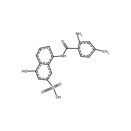 Cc1ccc(C(=O)Nc2cccc3c(O)cc(S(=O)(=O)O)cc23)c(N)c1